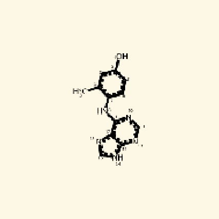 Cc1cc(O)ccc1Nc1ncnc2[nH]cnc12